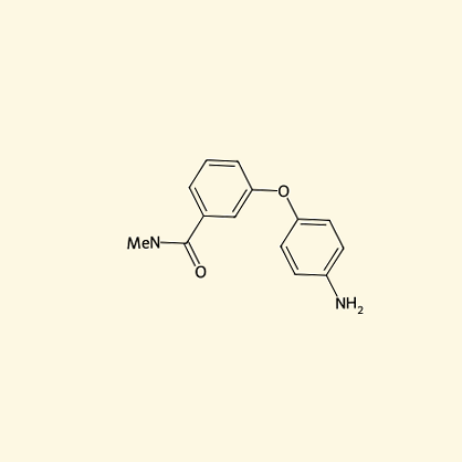 CNC(=O)c1cccc(Oc2ccc(N)cc2)c1